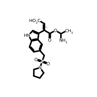 CC(N)OC(=O)/C(=C/C(=O)O)c1c[nH]c2ccc(CS(=O)(=O)N3CCCC3)cc12